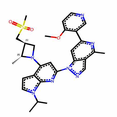 COc1ccncc1-c1cc2c(cnn2-c2cc(N3C[C@H](CS(C)(=O)=O)[C@H]3C)c3ccn(C(C)C)c3n2)c(C)n1